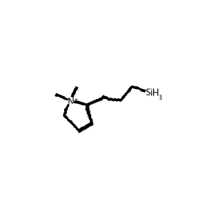 C[N+]1(C)CCCC1CCC[SiH3]